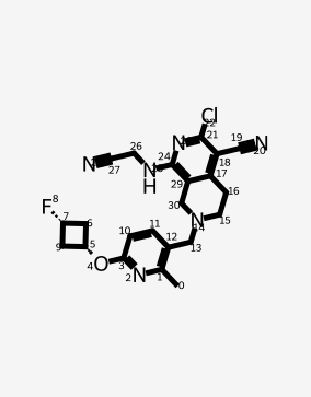 Cc1nc(O[C@H]2C[C@@H](F)C2)ccc1CN1CCc2c(C#N)c(Cl)nc(NCC#N)c2C1